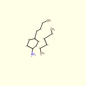 CCCCC1CCC(N)CC1.CCCCCC